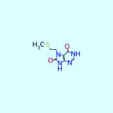 CSCCn1c(=O)[nH]c2nc[nH]c(=O)c21